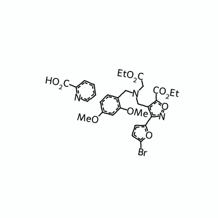 CCOC(=O)CN(Cc1ccc(OC)cc1OC)Cc1c(-c2ccc(Br)o2)noc1C(=O)OCC.O=C(O)c1ccccn1